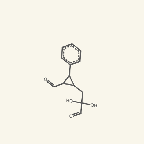 O=CC1C(CC(O)(O)C=O)C1c1ccccc1